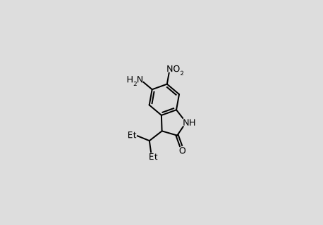 CCC(CC)C1C(=O)Nc2cc([N+](=O)[O-])c(N)cc21